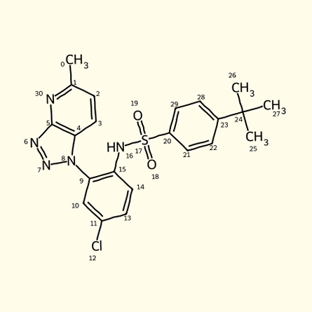 Cc1ccc2c(nnn2-c2cc(Cl)ccc2NS(=O)(=O)c2ccc(C(C)(C)C)cc2)n1